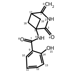 C=C1NC(=O)C2(NC(=O)c3ccccc3O)CC1C2